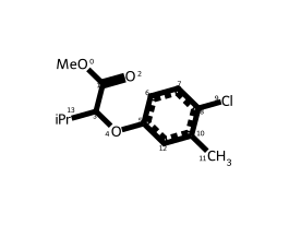 COC(=O)C(Oc1ccc(Cl)c(C)c1)C(C)C